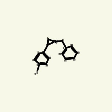 Ic1ccc(C2CN2Cc2ccccc2)cc1